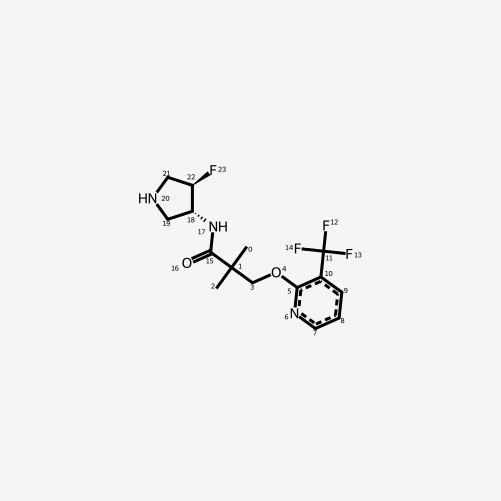 CC(C)(COc1ncccc1C(F)(F)F)C(=O)N[C@@H]1CNC[C@H]1F